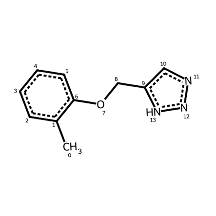 Cc1ccccc1OCc1cnn[nH]1